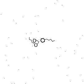 CCCCCc1ccc([C@H]2CO[C@](C)(CCCC)OC2)cc1